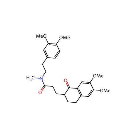 COc1ccc(CCN(C)C(=O)CCC2CCc3cc(OC)c(OC)cc3C2=O)cc1OC